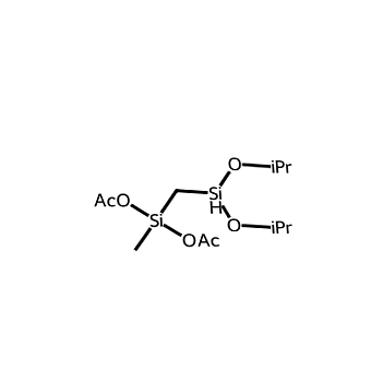 CC(=O)O[Si](C)(C[SiH](OC(C)C)OC(C)C)OC(C)=O